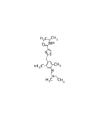 CCN(C)/C=N/c1cc(C)c(Cc2nc(C(=O)NC(C)C)cs2)cc1C